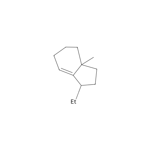 CCC1CCC2(C)CCCC=C12